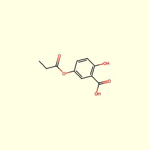 CCC(=O)Oc1ccc(O)c(C(=O)O)c1